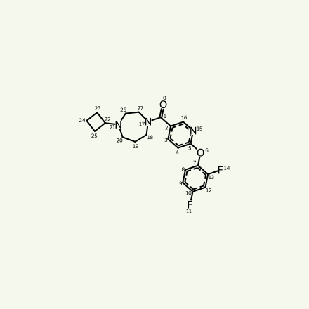 O=C(c1ccc(Oc2ccc(F)cc2F)nc1)N1CCCN(C2CCC2)CC1